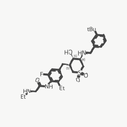 CCNCC(=O)Nc1c(F)cc(C[C@@H]2CS(=O)(=O)C[C@H](NCc3cccc(C(C)(C)C)c3)[C@H]2O)cc1CC